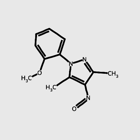 COc1ccccc1-n1nc(C)c(N=O)c1C